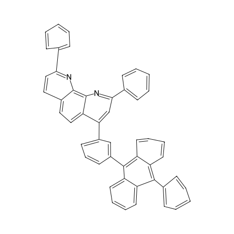 c1ccc(-c2ccc3ccc4c(-c5cccc(-c6c7ccccc7c(-c7ccccc7)c7ccccc67)c5)cc(-c5ccccc5)nc4c3n2)cc1